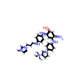 C[n+]1ccn(CCCNc2ccc(Nc3cc(Nc4ccc(N5CCC([N+](C)(C)C)C5)cc4)c(N)cc3O)cc2)c1